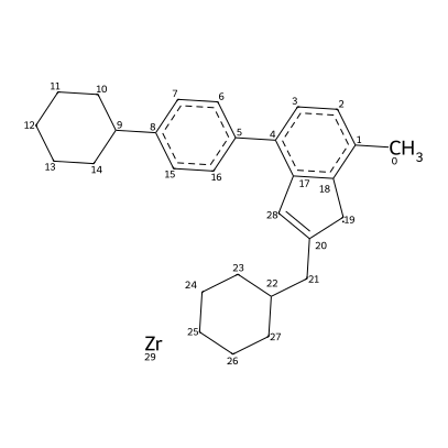 Cc1ccc(-c2ccc(C3CCCCC3)cc2)c2c1[CH]C(CC1CCCCC1)=C2.[Zr]